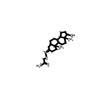 CC12CCC3C(CCC4C/C(=N/OCC(N)=O)CCC43C)C1CCC2O